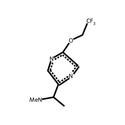 CNC(C)c1cnc(OCC(F)(F)F)cn1